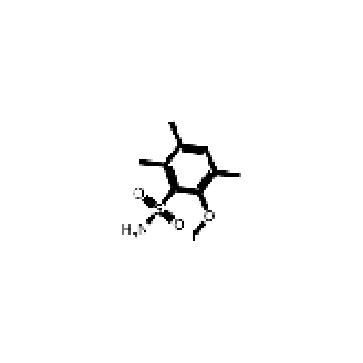 Cc1cc(C)c(OI)c(S(N)(=O)=O)c1C